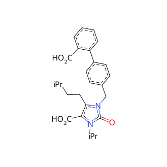 CC(C)CCc1c(C(=O)O)n(C(C)C)c(=O)n1Cc1ccc(-c2ccccc2C(=O)O)cc1